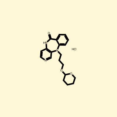 Cl.O=C1Nc2ccncc2N(CCCOC2CCCCO2)c2ccccc21